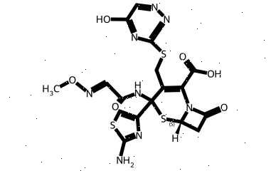 CON=CC(=O)NC1(c2csc(N)n2)S[C@H]2CC(=O)N2C(C(=O)O)=C1CSc1nncc(O)n1